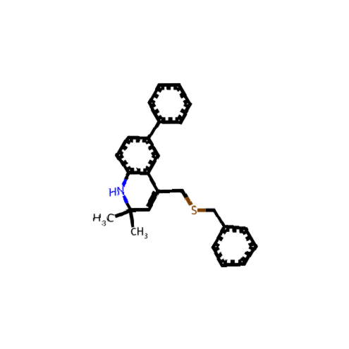 CC1(C)C=C(CSCc2ccccc2)c2cc(-c3ccccc3)ccc2N1